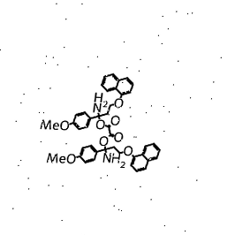 COc1ccc(C(N)(CCOc2cccc3ccccc23)OC(=O)C(=O)OC(N)(CCOc2cccc3ccccc23)c2ccc(OC)cc2)cc1